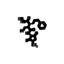 CC(C)CC(C(=O)NN1C(=O)CN(C)C1=S)[C@@H](C/C=C\c1ccccc1)C(=O)NO